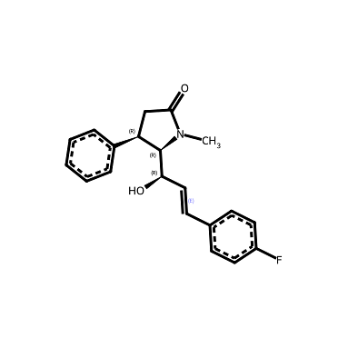 CN1C(=O)C[C@H](c2ccccc2)[C@@H]1[C@H](O)/C=C/c1ccc(F)cc1